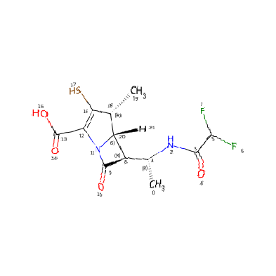 C[C@@H](NC(=O)C(F)F)[C@H]1C(=O)N2C(C(=O)O)=C(S)[C@H](C)[C@H]12